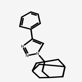 c1ccc(-c2cn(C34CC5CC(CC(C5)C3)C4)nn2)cc1